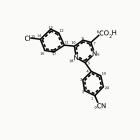 N#Cc1ccc(-c2nc(C(=O)O)cc(-c3ccc(Cl)cc3)n2)cc1